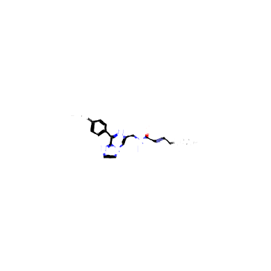 COC/C=C/C(=O)NCc1cn2ccnc2c(-c2ccc(C(F)(F)F)cc2)n1